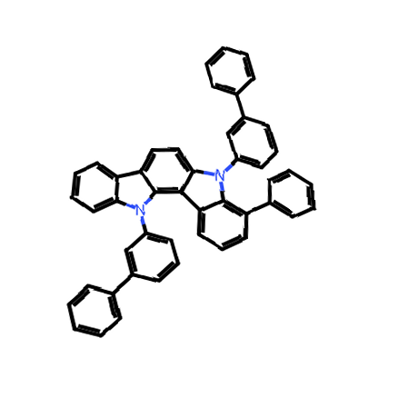 c1ccc(-c2cccc(-n3c4ccc5c6ccccc6n(-c6cccc(-c7ccccc7)c6)c5c4c4cccc(-c5ccccc5)c43)c2)cc1